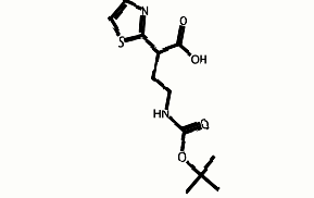 CC(C)(C)OC(=O)NCCC(C(=O)O)c1nccs1